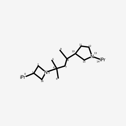 CC(C)C1CN(C(C)(C)CC(C)C2CCN(C(C)C)C2)C1